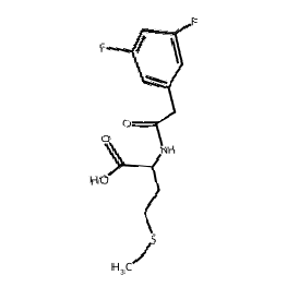 CSCCC(NC(=O)Cc1cc(F)cc(F)c1)C(=O)O